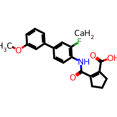 COc1cccc(-c2ccc(NC(=O)C3=C(C(=O)O)CCC3)c(F)c2)c1.[CaH2]